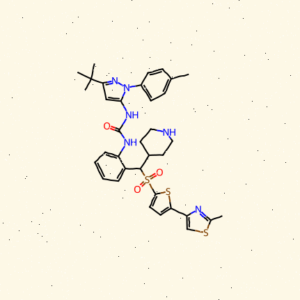 Cc1ccc(-n2nc(C(C)(C)C)cc2NC(=O)Nc2ccccc2C(C2CCNCC2)S(=O)(=O)c2ccc(-c3csc(C)n3)s2)cc1